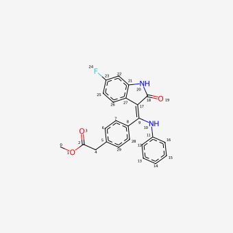 COC(=O)Cc1ccc(/C(Nc2ccccc2)=C2/C(=O)Nc3cc(F)ccc32)cc1